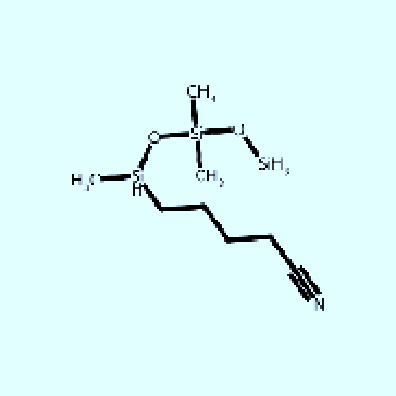 C[SiH](CCCCC#N)O[Si](C)(C)O[SiH3]